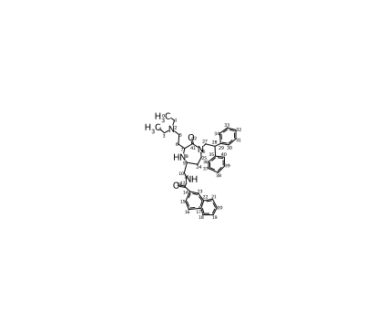 CCN(CC)CCC1NC(CNC(=O)c2ccc3ccccc3c2)CCN(CC(c2ccccc2)c2ccccc2)C1=O